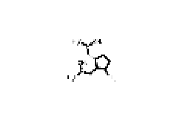 CC1CC[C@@H](CN(C)C)C1CN(C)C